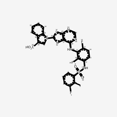 Cc1c(F)cccc1S(=O)(=O)Nc1ccc(F)c(Nc2ncnc3sc(-n4cc(C(=O)O)c5ccccc54)nc23)c1F